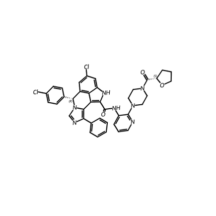 O=C(Nc1cccnc1N1CCN(C(=O)[C@@H]2CCCO2)CC1)c1[nH]c2cc(Cl)cc3c2c1-c1c(-c2ccccc2)ncn1[C@@H]3c1ccc(Cl)cc1